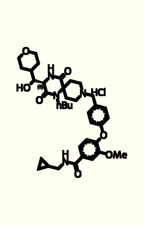 CCCCN1C(=O)[C@@H](C(O)C2CCOCC2)NC(=O)C12CCN(Cc1ccc(Oc3ccc(C(=O)NCC4CC4)cc3OC)cc1)CC2.Cl